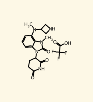 CN(c1cccc2c1n(C)c(=O)n2C1CCC(=O)NC1=O)C1CNC1.O=C(O)C(F)(F)F